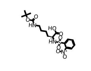 CC(C)(C)OC(=O)NCCCC[C@H](NS(=O)(=O)c1ccccc1[N+](=O)[O-])C(=O)O